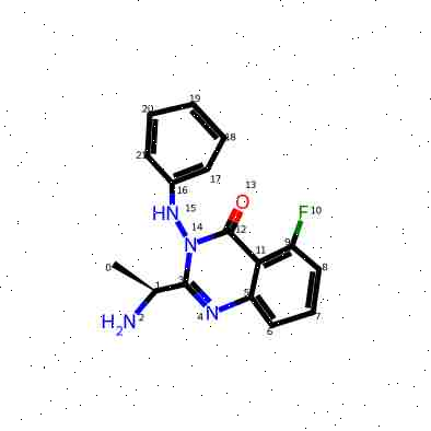 C[C@H](N)c1nc2cccc(F)c2c(=O)n1Nc1ccccc1